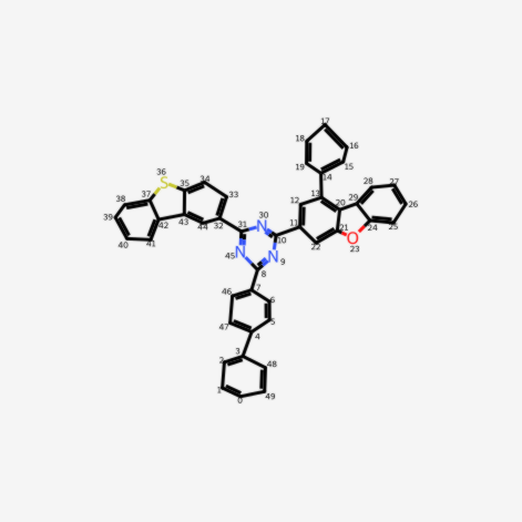 c1ccc(-c2ccc(-c3nc(-c4cc(-c5ccccc5)c5c(c4)oc4ccccc45)nc(-c4ccc5sc6ccccc6c5c4)n3)cc2)cc1